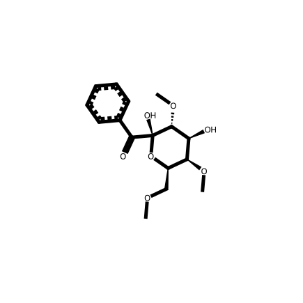 COC[C@H]1O[C@](O)(C(=O)c2ccccc2)[C@H](OC)[C@@H](O)[C@H]1OC